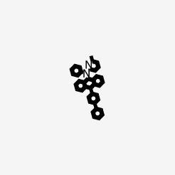 Cc1cccc(N(c2ccccc2)c2c3ccccc3c(-c3ccc(-c4ccccc4)cc3)c3ccccc23)n1